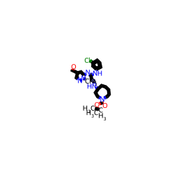 CN1N=CC(C=O)CC1/N=C(\C=C\NC1CCCCCN(C(=O)OC(C)(C)C)CC1)Nc1cccc(Cl)c1